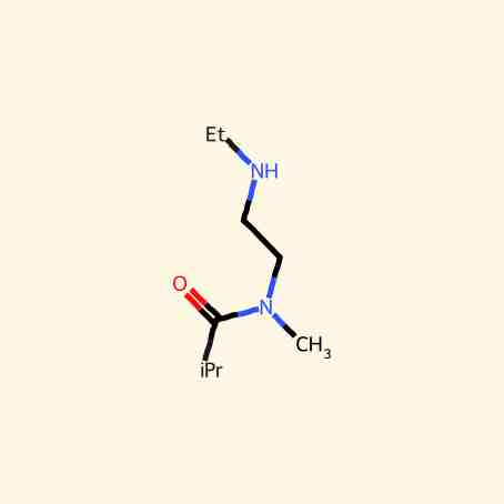 CCNCCN(C)C(=O)C(C)C